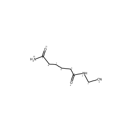 N#CCNC(=O)CCCCC(N)=O